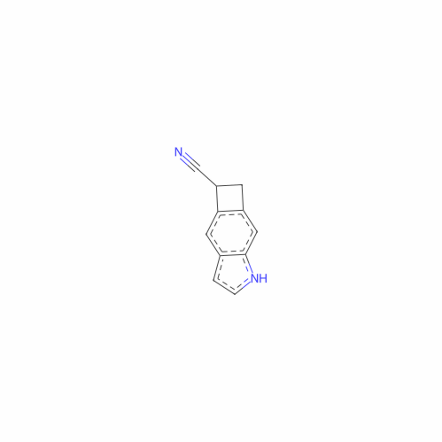 N#CC1Cc2cc3[nH]ccc3cc21